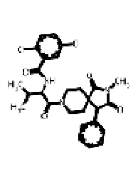 CC(C)[C@@H](NC(=O)c1cc(Cl)ccc1Cl)C(=O)N1CCC2(CC1)C(=O)N(C)C(=O)C2c1ccccc1